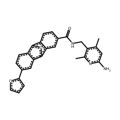 Cc1cc(N)nc(C)c1CNC(=O)c1ccc2c(c1)c1oc2c2ccc(-c3ccco3)cc21